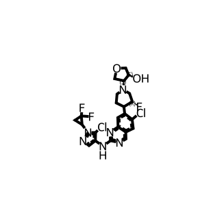 O[C@@H]1COC[C@@H]1N1CCC(c2cc3nc(Nc4cnn(C5CC5(F)F)c4Cl)ncc3cc2Cl)[C@@H](F)C1